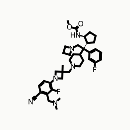 COC(=O)N[C@H]1CCC[C@@H]1C(CN1CCC1)(c1cccc(F)c1)C1CCN(CC2(C)CN(c3ccc(C#N)c(CN(C)C)c3F)C2)CC1